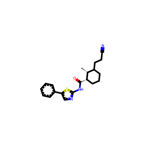 C[C@@H]1C(CCC#N)CCC[C@@H]1C(=O)Nc1ncc(-c2ccccc2)s1